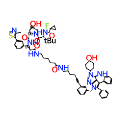 Cc1ncsc1-c1cccc([C@H](CC(=O)NCCCCCC(=O)NCCCCC#Cc2cccc(Cn3c(-c4ccccc4)c(-c4ccccc4)c4c(=N)n(C5CCC(O)CC5)cnc43)c2)NC(=O)[C@@H]2C[C@@H](O)CN2C(=O)C(NC(=O)C2(F)CC2)C(C)(C)C)c1